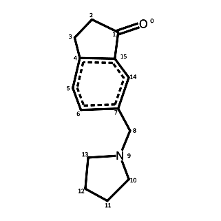 O=C1CCc2ccc(CN3CCCC3)cc21